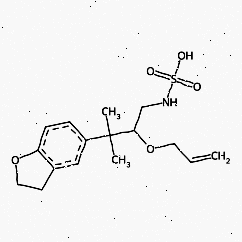 C=CCOC(CNS(=O)(=O)O)C(C)(C)c1ccc2c(c1)CCO2